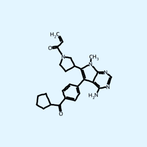 C=CC(=O)N1CCC(c2c(-c3ccc(C(=O)C4CCCC4)cc3)c3c(N)ncnc3n2C)C1